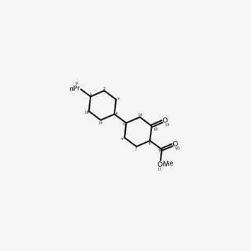 CCCC1CCC(C2CCC(C(=O)OC)C(=O)C2)CC1